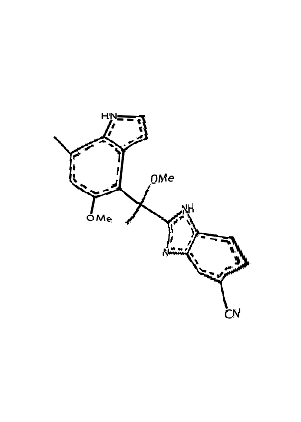 COc1cc(C)c2[nH]ccc2c1C(C)(OC)c1nc2cc(C#N)ccc2[nH]1